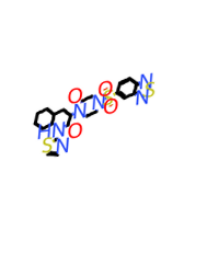 O=C(Nc1nccs1)C(CC1CCCCC1)N1CCN(S(=O)(=O)c2ccc3nsnc3c2)CC1=O